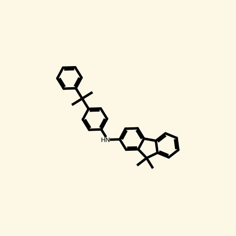 CC(C)(c1ccccc1)c1ccc(Nc2ccc3c(c2)C(C)(C)c2ccccc2-3)cc1